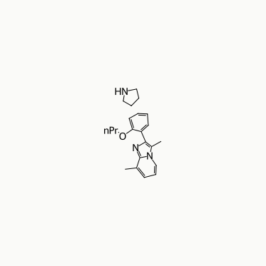 C1CCNC1.CCCOc1ccccc1-c1nc2c(C)cccn2c1C